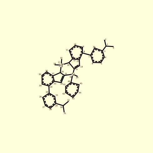 CC(C)c1cccc(-c2cccc3c2C=C2[CH]3[Hf]([CH3])([CH3])[CH]3C(=Cc4c(-c5cccc(C(C)C)c5)cccc43)[Si]2(C)c2ccccc2)c1